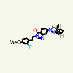 COc1ccc(CCn2cnc3cc(N=NC4C[C@H]5C[C@@H]([C@@H]4C)C5(C)C)ccc3c2=O)c(F)c1